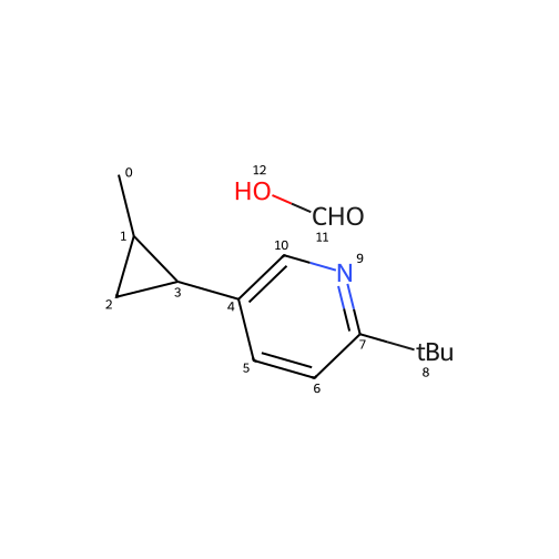 CC1CC1c1ccc(C(C)(C)C)nc1.O=CO